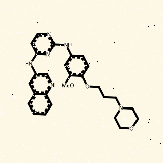 COc1cc(Nc2nccc(Nc3cnc4ccccc4c3)n2)ccc1OCCCN1CCOCC1